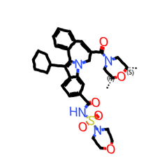 C[C@@H]1CN(C(=O)C2=Cc3ccccc3-c3c(C4CCCCC4)c4ccc(C(=O)NS(=O)(=O)N5CCOCC5)cc4n3C2)C[C@H](C)O1